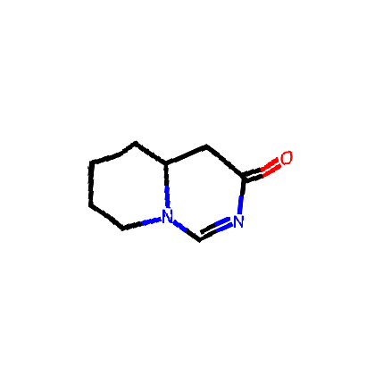 O=C1CC2CCCCN2C=N1